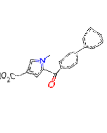 Cn1cc(C(=O)O)cc1C(=O)c1ccc(-c2ccccc2)cc1